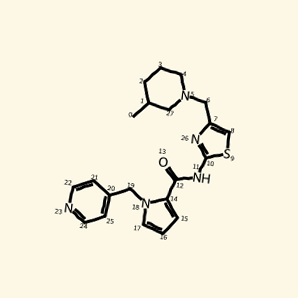 CC1CCCN(Cc2csc(NC(=O)c3cccn3Cc3ccncc3)n2)C1